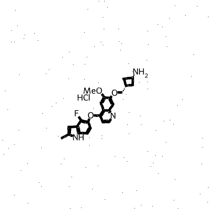 COc1cc2c(Oc3ccc4[nH]c(C)cc4c3F)ccnc2cc1OC[C@H]1C[C@@H](N)C1.Cl